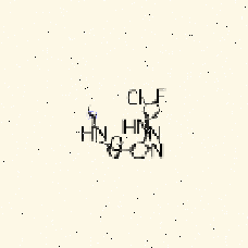 C/C=C/CNCc1ccc(-c2ccc3ncnc(Nc4ccc(F)c(Cl)c4)c3c2)o1